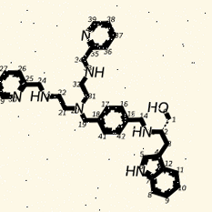 OC[C@H](Cc1c[nH]c2ccccc12)NCc1ccc(CN(CCNCc2ccccn2)CCNCc2ccccn2)cc1